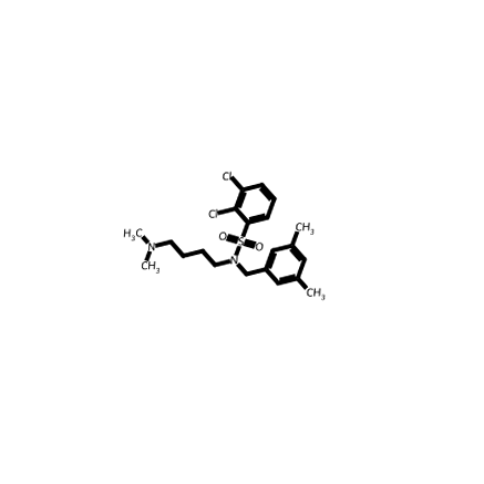 Cc1cc(C)cc(CN(CCCCN(C)C)S(=O)(=O)c2cccc(Cl)c2Cl)c1